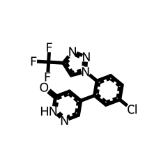 O=c1cc(-c2cc(Cl)ccc2-n2cc(C(F)(F)F)nn2)cn[nH]1